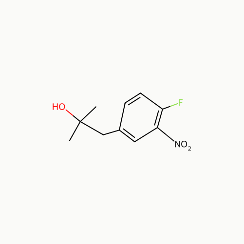 CC(C)(O)Cc1ccc(F)c([N+](=O)[O-])c1